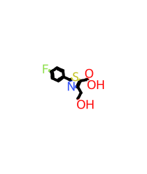 O=C(O)c1sc(-c2ccc(F)cc2)nc1CCO